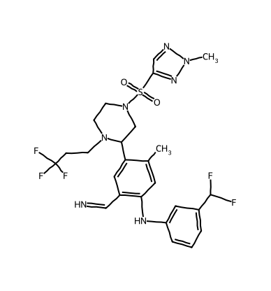 Cc1cc(Nc2cccc(C(F)F)c2)c(C=N)cc1C1CN(S(=O)(=O)c2cnn(C)n2)CCN1CCC(F)(F)F